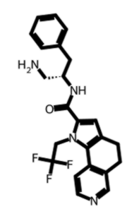 NC[C@H](Cc1ccccc1)NC(=O)c1cc2c(n1CC(F)(F)F)-c1ccncc1CC2